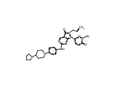 C=CCn1c(=O)c2cnc(Nc3ccc(N4CCC(N5CCCC5)CC4)cc3)nc2n1-c1ccc(=O)n(C(C)C)n1